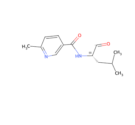 Cc1ccc(C(=O)N[C@H]([C]=O)CC(C)C)cn1